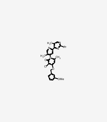 COc1cccc(COc2cc(C)n(-c3cc(-c4nc(C(C)C)ncc4C)ncc3C)c(=O)c2Cl)c1